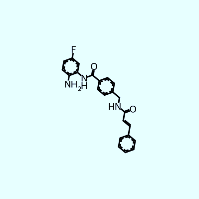 Nc1ccc(F)cc1NC(=O)c1ccc(CNC(=O)C=Cc2ccccc2)cc1